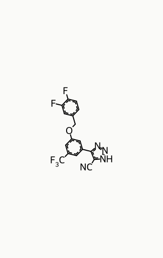 N#Cc1[nH]nnc1-c1cc(OCc2ccc(F)c(F)c2)cc(C(F)(F)F)c1